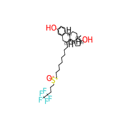 C[C@]12CC[C@@H]3c4ccc(O)cc4C[C@H](CCCCCCCCC[S+]([O-])CCCC(F)(F)C(F)(F)F)[C@H]3[C@@H]1CC[C@@H]2O